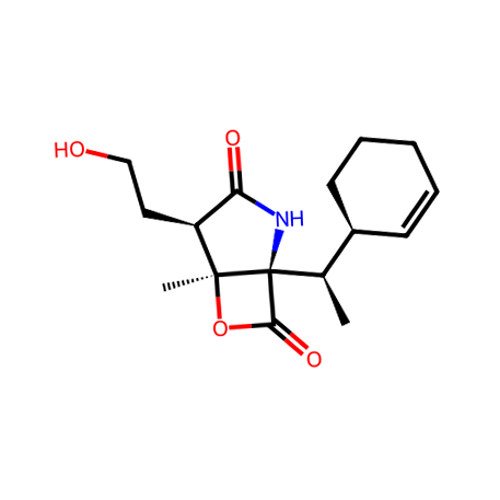 C[C@H]([C@@H]1C=CCCC1)[C@@]12NC(=O)[C@H](CCO)[C@]1(C)OC2=O